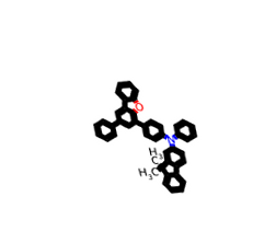 CC1(C)c2ccccc2-c2ccc(N(c3ccccc3)c3ccc(-c4cc(-c5ccccc5)cc5c4oc4ccccc45)cc3)cc21